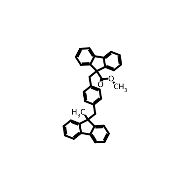 COC(=O)C1(Cc2ccc(CC3(C)c4ccccc4-c4ccccc43)cc2)c2ccccc2-c2ccccc21